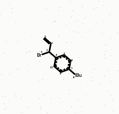 C=CC(Br)c1ccc(C(C)CC)cc1